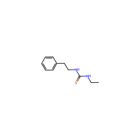 CCNC(=S)NCCc1ccccc1